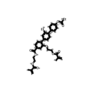 C=C(C)C(=O)OCCOC(=O)c1ccc(-c2ccc(-c3ccc(OC(=O)CC)cc3)c(CC)c2)c(OCCOC(=O)C(=C)C)c1